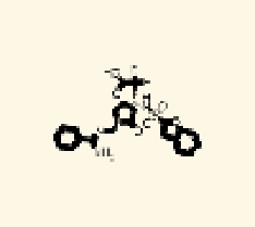 NC(=NCN1CC[C@H](NS(=O)(=O)c2cc3ccccc3s2)C1=O)c1ccccc1.O=C(O)C(F)(F)F